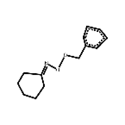 c1ccc(COON=C2CCCCC2)cc1